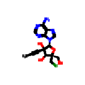 CC#C[C@@]1(O)[C@H](O)[C@](CO)(CCl)O[C@H]1n1cnc2c(N)ncnc21